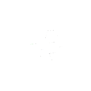 CCCCC1(CCCC)CC(C)C2CCCCC2N1CCBr